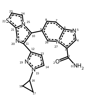 NC(=O)c1cnc2ccc(-c3c(-c4ccn(C5CC5)n4)nc4sccn34)cn12